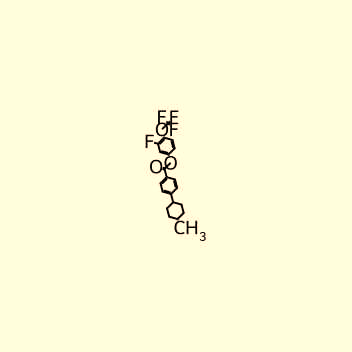 CC1CCC(c2ccc(C(=O)Oc3ccc(OC(F)(F)F)c(F)c3)cc2)CC1